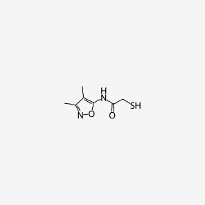 Cc1noc(NC(=O)CS)c1C